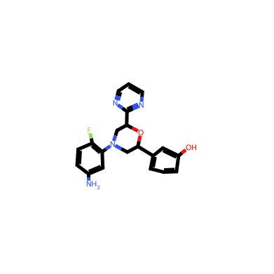 Nc1ccc(F)c(N2CC(c3cccc(O)c3)OC(c3ncccn3)C2)c1